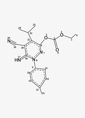 CCOC(=O)Oc1nn(-c2ccc(C)cc2)c(=N)c(C#N)c1C(C)C